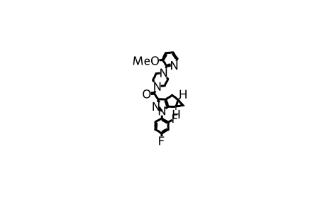 COc1cccnc1N1CCN(C(=O)c2nn(-c3ccc(F)cc3F)c3c2C[C@H]2C[C@@H]32)CC1